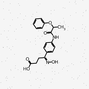 CC(Oc1ccccc1)C(=O)Nc1ccc(/C(CCC(=O)O)=N\O)cc1